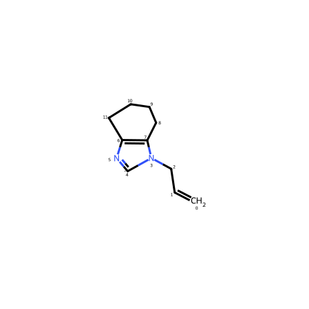 C=CCn1[c]nc2c1CCCC2